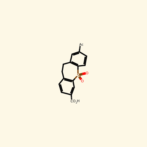 CC(=O)c1ccc2c(c1)CCc1ccc(C(=O)O)cc1S2(=O)=O